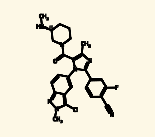 CN[C@H]1CCCN(C(=O)c2c(C)nc(-c3ccc(C#N)c(F)c3)n2-c2ccc3nn(C)c(Cl)c3c2)C1